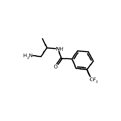 CC(CN)NC(=O)c1cccc(C(F)(F)F)c1